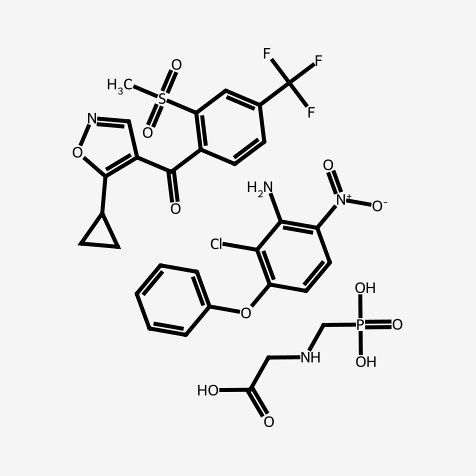 CS(=O)(=O)c1cc(C(F)(F)F)ccc1C(=O)c1cnoc1C1CC1.Nc1c([N+](=O)[O-])ccc(Oc2ccccc2)c1Cl.O=C(O)CNCP(=O)(O)O